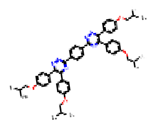 CCCCC(CC)COc1ccc(-c2nnc(-c3ccc(-c4nnc(-c5ccc(OCC(CC)CCCC)cc5)c(-c5ccc(OCC(CC)CCCC)cc5)n4)cc3)nc2-c2ccc(OCC(CC)CCCC)cc2)cc1